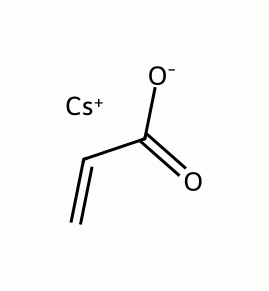 C=CC(=O)[O-].[Cs+]